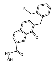 O=C(NO)c1ccc2ccn(Cc3ccccc3CF)c(=O)c2c1